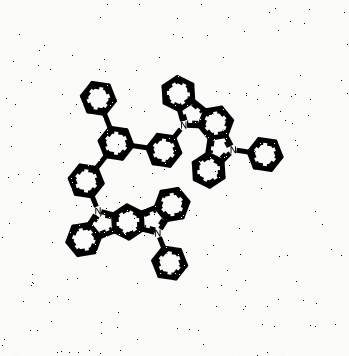 c1ccc(-c2cc(-c3cccc(-n4c5ccccc5c5cc6c(cc54)c4ccccc4n6-c4ccccc4)c3)cc(-c3cccc(-n4c5ccccc5c5ccc6c(c7ccccc7n6-c6ccccc6)c54)c3)c2)cc1